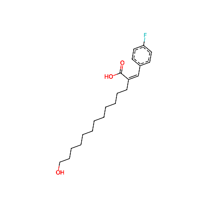 O=C(O)C(=Cc1ccc(F)cc1)CCCCCCCCCCCCO